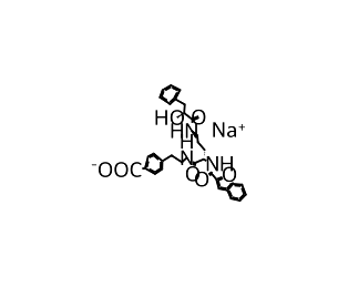 O=C([O-])c1ccc(CCNC(=O)[C@H](CCCNC(=O)[C@@H](O)Cc2ccccc2)NC(=O)c2cc3ccccc3o2)cc1.[Na+]